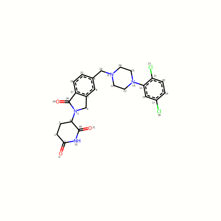 O=C1CCC(N2Cc3cc(CN4CCN(c5cc(Cl)ccc5Cl)CC4)ccc3C2=O)C(=O)N1